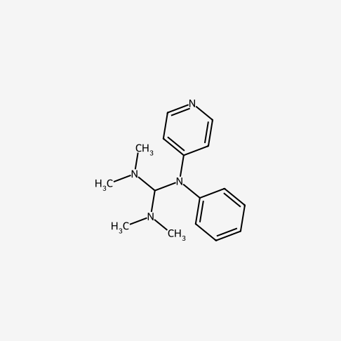 CN(C)C(N(C)C)N(c1ccccc1)c1ccncc1